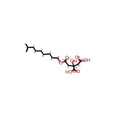 CC(C)CCCCCCCOC(=O)CC(O)(CC(=O)O)C(=O)O